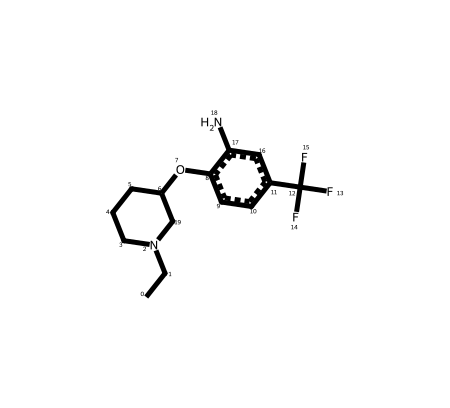 CCN1CCCC(Oc2ccc(C(F)(F)F)cc2N)C1